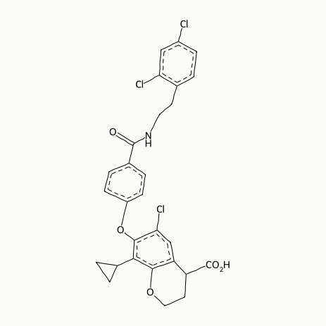 O=C(NCCc1ccc(Cl)cc1Cl)c1ccc(Oc2c(Cl)cc3c(c2C2CC2)OCCC3C(=O)O)cc1